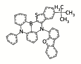 CC(C)(C)c1ccc2sc3c(c2c1)N(c1cccc2c1oc1ccccc12)c1cccc2c1B3c1ccccc1N2c1ccccc1